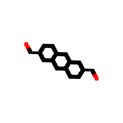 O=Cc1ccc2cc3cc(C=O)ccc3cc2c1